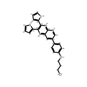 ClCCCOc1ccc(-c2cnc3nc(-c4cccs4)c(-c4cccs4)nc3c2)cc1